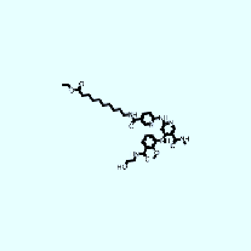 CCOC(=O)CCCCCCCCCNC(=O)c1ccc(Nc2cc(Nc3cccc(C(=O)NCCO)c3OC)c(C(=O)NC)cn2)nc1